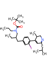 CCCN(CC(CC)Cc1ccc(C2=CC(CC(C)C)=NCC2C)c(I)c1)C(=O)OC(C)(C)C